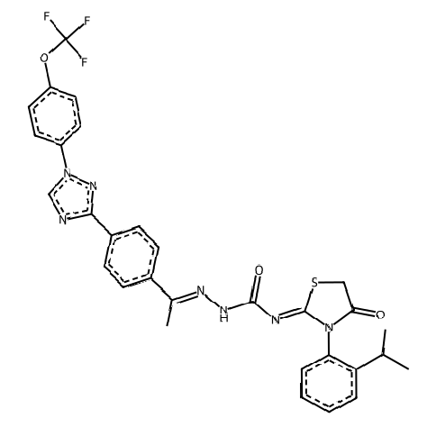 C/C(=N\NC(=O)/N=C1\SCC(=O)N1c1ccccc1C(C)C)c1ccc(-c2ncn(-c3ccc(OC(F)(F)F)cc3)n2)cc1